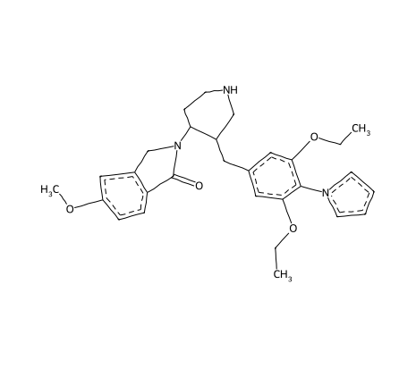 CCOc1cc(CC2CNCCC2N2Cc3cc(OC)ccc3C2=O)cc(OCC)c1-n1cccc1